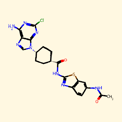 CC(=O)Nc1ccc2nc(NC(=O)[C@H]3CC[C@@H](n4cnc5c(N)nc(Cl)nc54)CC3)sc2c1